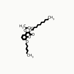 CC/C=C/CCOc1cccc2c(OC(C)C)c(OCCCCCCCCCC)c(=O)oc12